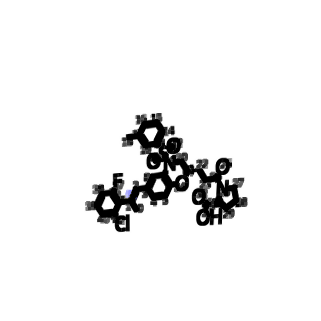 C/C(=C\c1ccc2c(c1)N(S(=O)(=O)c1cccc(C)c1)C[C@H](CCC(=O)N1CCC[C@@H]1C(=O)O)O2)c1c(F)cccc1Cl